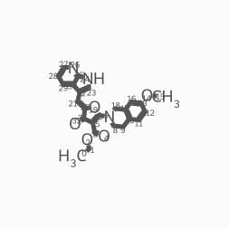 CCOC(=O)C1=C(N2CCc3ccc(OC)cc3C2)O/C(=C\c2c[nH]c3ncccc23)C1=O